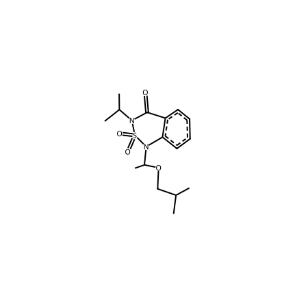 CC(C)COC(C)N1c2ccccc2C(=O)N(C(C)C)S1(=O)=O